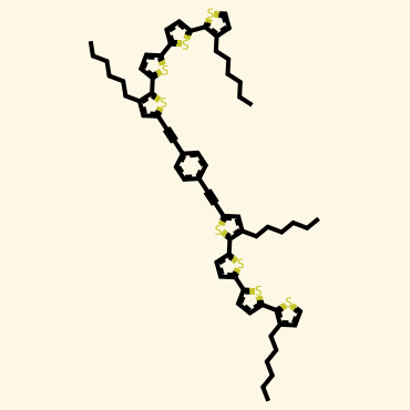 CCCCCCc1ccsc1-c1ccc(-c2ccc(-c3sc(C#Cc4ccc(C#Cc5cc(CCCCCC)c(-c6ccc(-c7ccc(-c8sccc8CCCCCC)s7)s6)s5)cc4)cc3CCCCCC)s2)s1